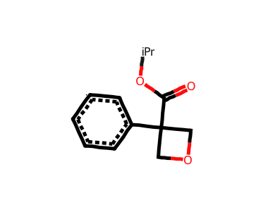 CC(C)OC(=O)C1(c2c[c]ccc2)COC1